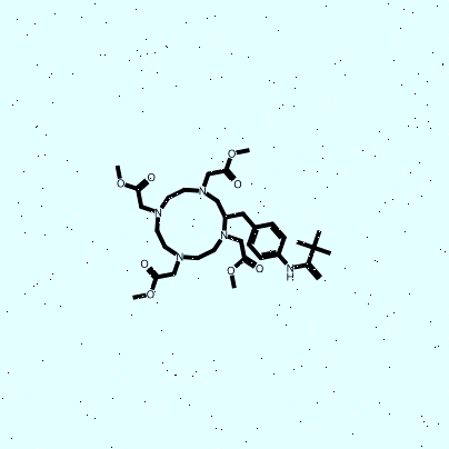 C=C(Nc1ccc(CC2CN(CC(=O)OC)CCN(CC(=O)OC)CCN(CC(=O)OC)CCN2CC(=O)OC)cc1)C(C)(C)C